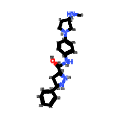 CNC1CCN(c2ccc(NC(=O)C3=NN=C(c4ccccc4)C3)cc2)C1